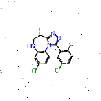 C[C@@H]1CNc2cc(Cl)ccc2-n2c(-c3cc(Cl)ccc3Cl)nnc21